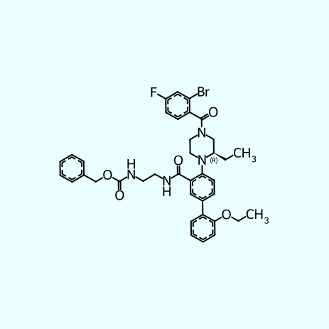 CCOc1ccccc1-c1ccc(N2CCN(C(=O)c3ccc(F)cc3Br)C[C@H]2CC)c(C(=O)NCCNC(=O)OCc2ccccc2)c1